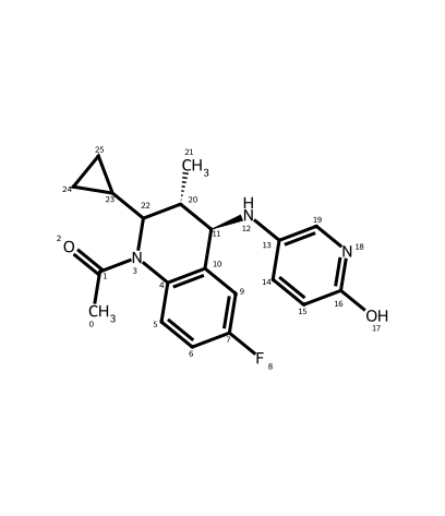 CC(=O)N1c2ccc(F)cc2[C@H](Nc2ccc(O)nc2)[C@@H](C)C1C1CC1